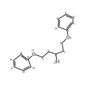 [CH2]CC(CCOc1ccccc1)CCOc1ccccc1